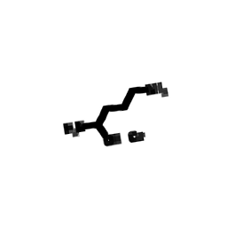 NCCCC(N)O.[Cu]